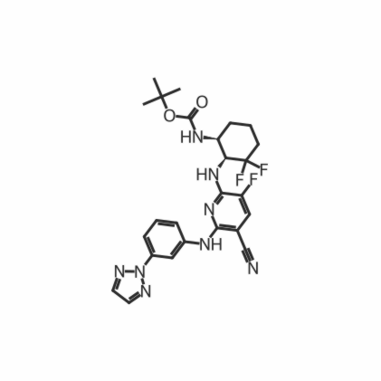 CC(C)(C)OC(=O)N[C@H]1CCCC(F)(F)[C@H]1Nc1nc(Nc2cccc(-n3nccn3)c2)c(C#N)cc1F